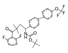 CC(C)(C)OC(=O)NC(CC(C)(C)C(=O)c1c(F)cccc1F)c1ccc(-c2ccc(OC(F)(F)F)cc2)cc1